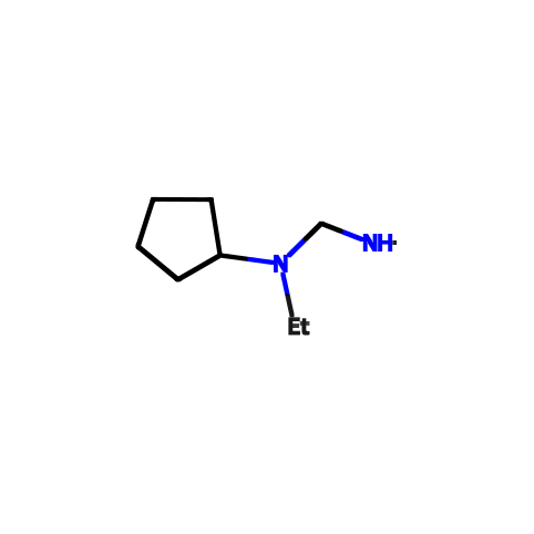 CCN(C[NH])C1CCCC1